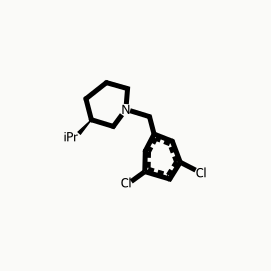 CC(C)[C@H]1CCCN(Cc2cc(Cl)cc(Cl)c2)C1